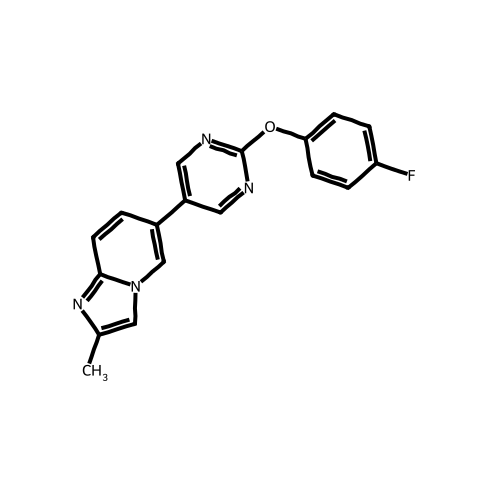 Cc1cn2cc(-c3cnc(Oc4ccc(F)cc4)nc3)ccc2n1